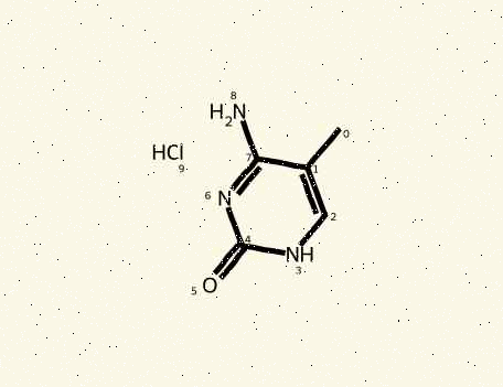 Cc1c[nH]c(=O)nc1N.Cl